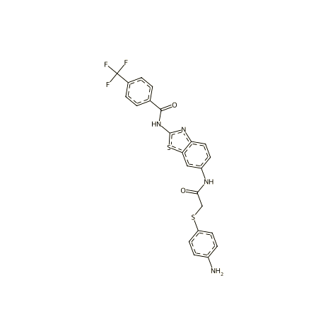 Nc1ccc(SCC(=O)Nc2ccc3nc(NC(=O)c4ccc(C(F)(F)F)cc4)sc3c2)cc1